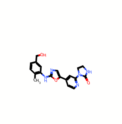 Cc1ccc(CO)cc1Nc1ncc(-c2ccnc(N3CCNC3=O)c2)o1